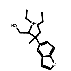 CCCCC(C)(c1ccc2occc2c1)C(CO)NCC